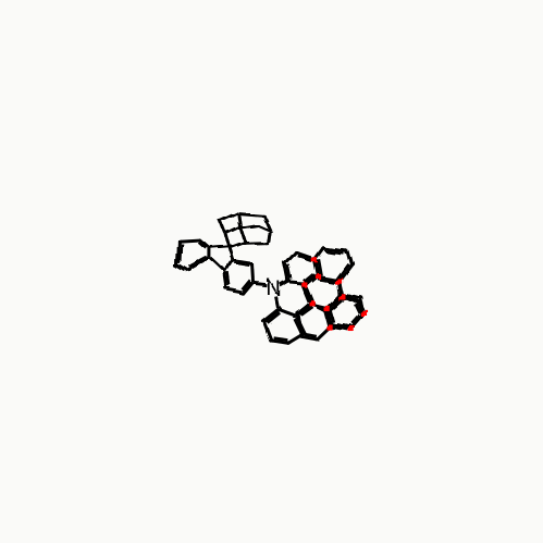 c1ccc(-c2cccc3cccc(-c4ccccc4N(c4ccc5c(c4)C4(c6ccccc6-5)C5CC6CC7CC4C75C6)c4ccccc4-c4cccc5ccccc45)c23)cc1